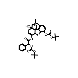 CN1CCC23c4c5ccc(OC(=O)OC(C)(C)C)c4OC2C(OC(=O)C(OC(=O)OC(C)(C)C)c2ccccc2)=CCC3(O)C1C5